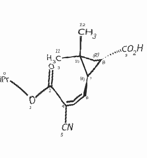 CC(C)OC(=O)C(C#N)=C[C@@H]1[C@@H](C(=O)O)C1(C)C